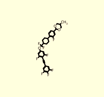 CC1COC(c2ccc(C3CCC(C(F)(F)Oc4cc(F)c(C#Cc5cc(F)c(F)c(F)c5)c(F)c4)CC3)c(F)c2)OC1